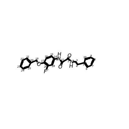 O=C(NCCc1ccccc1)C(=O)Nc1ccc(OCc2ccccc2)c(F)c1